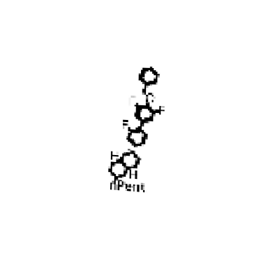 CCCCCC1CC[C@@H]2C[C@H](c3ccc(-c4cc(F)c(OCc5ccccc5)c(F)c4)c(F)c3)CC[C@@H]2C1